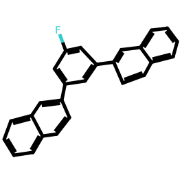 Fc1cc(-c2ccc3ccccc3c2)cc(-c2ccc3ccccc3c2)c1